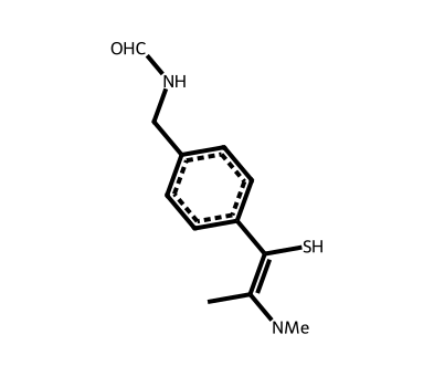 CN/C(C)=C(\S)c1ccc(CNC=O)cc1